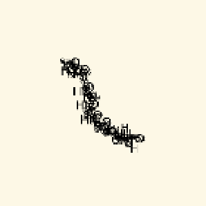 C=C1C[C@H]2C=Nc3cc(OCCCC(=O)Nc4cn(C)c(C(=O)Nc5cc(C(=O)Nc6cc(C(=O)n7ccc8cc(NC(=O)[C@H](C)NC(=O)CNC=O)ccc87)n(C)c6)n(C)c5)n4)c(OC)cc3C(=O)N2C1